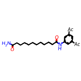 CC(=O)c1cc(NC(=O)CCCCCCCCCCC(N)=O)cc(C(C)=O)c1